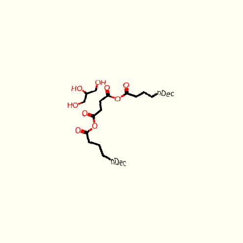 CCCCCCCCCCCCCC(=O)OC(=O)CCC(=O)OC(=O)CCCCCCCCCCCCC.OCC(O)CO